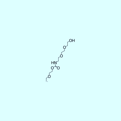 [CH2]COCCOC(=O)NCCOCCOCCO